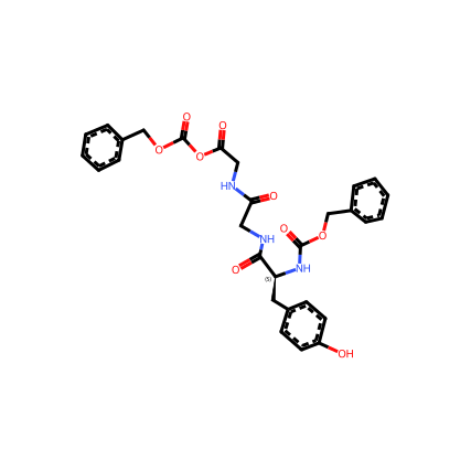 O=C(CNC(=O)[C@H](Cc1ccc(O)cc1)NC(=O)OCc1ccccc1)NCC(=O)OC(=O)OCc1ccccc1